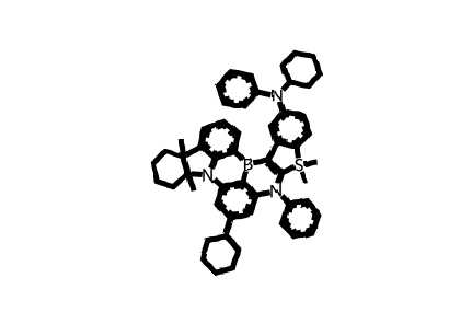 CC12CCCCC1(C)N1c3cc(C4CCCCC4)cc4c3B(C3=C(N4c4ccccc4)S(C)(C)c4ccc(N(c5ccccc5)C5CCCCC5)cc43)c3cccc2c31